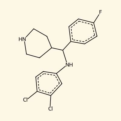 Fc1ccc(C(Nc2ccc(Cl)c(Cl)c2)C2CCNCC2)cc1